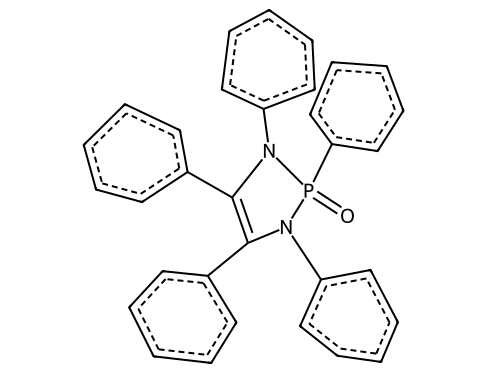 O=P1(c2ccccc2)N(c2ccccc2)C(c2ccccc2)=C(c2ccccc2)N1c1ccccc1